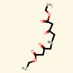 CCOC(=O)CC(=O)[CH2][Mg][CH2]C(=O)CC(=O)OCC